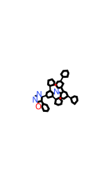 c1ccc(-c2ccc3c(c2)c2cc(-c4ccccc4)ccc2n3-c2c(-c3ccccc3)cc(-c3ncnc4oc5ccccc5c34)cc2-c2ccccc2)cc1